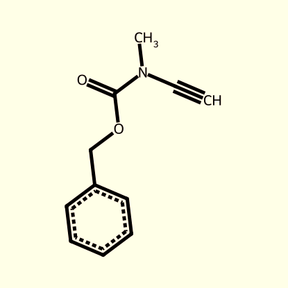 C#CN(C)C(=O)OCc1ccccc1